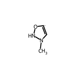 CN1C=[C]ON1